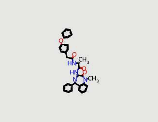 C[C@H](NC(=O)Cc1ccc(Oc2ccccc2)cc1)C(=O)N[C@H]1N=C(c2ccccc2)c2ccccc2N(C)C1=O